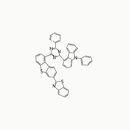 c1ccc(-c2nc(-c3cccc4sc5cc(-c6nc7ccccc7s6)ccc5c34)nc(-c3cccc4c3c3ccccc3n4-c3ccccc3)n2)cc1